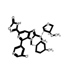 CO[C@@H]1COC[C@H]1N(C)c1nc2cc(-c3noc(=O)[nH]3)nc(-c3cncc(Cl)c3)c2n1C[C@H]1CC[C@H](C)CC1